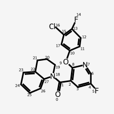 O=C(c1cc(F)cnc1Oc1ccc(F)c(Cl)c1)N1CCCc2ccccc21